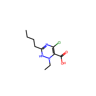 CCCCC1=NC(Cl)=C(C(=O)O)N(CC)N1